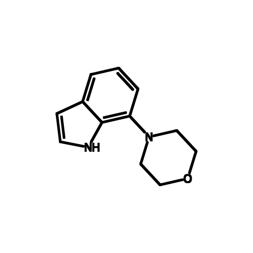 c1cc(N2CCOCC2)c2[nH]ccc2c1